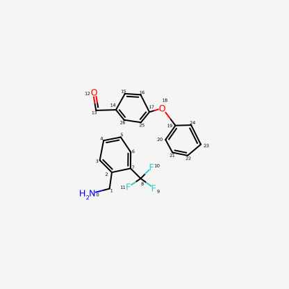 NCc1ccccc1C(F)(F)F.O=Cc1ccc(Oc2ccccc2)cc1